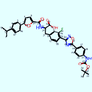 CC(C)c1ccc(-c2ccc(C(=O)NC(Cc3ccc(-c4noc(-c5ccc(NC(=O)OC(C)(C)C)cc5)n4)c(F)c3)C(=O)O)o2)cc1